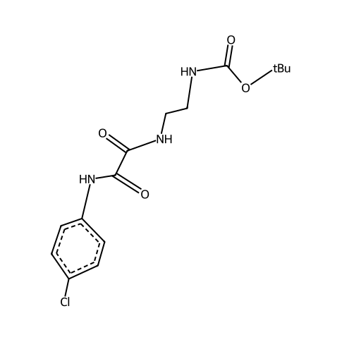 CC(C)(C)OC(=O)NCCNC(=O)C(=O)Nc1ccc(Cl)cc1